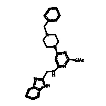 CSc1nc(NCc2nc3ccccc3[nH]2)cc(N2CCN(Cc3ccccc3)CC2)n1